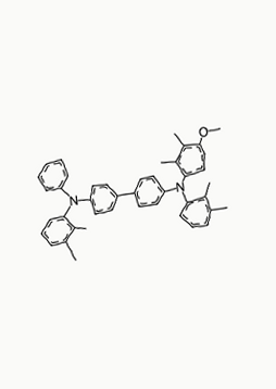 COc1ccc(N(c2ccc(-c3ccc(N(c4ccccc4)c4cccc(C)c4C)cc3)cc2)c2cccc(C)c2C)c(C)c1C